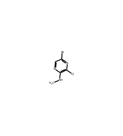 CNc1ncc(Br)nc1Cl